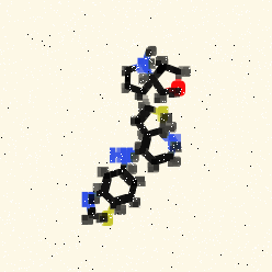 CN1CC[C@@H](c2cc3c(Nc4ccc5scnc5c4)ccnc3s2)[C@]12CCOC2